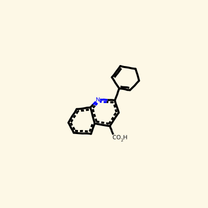 O=C(O)c1cc(C2=CCCC=C2)nc2ccccc12